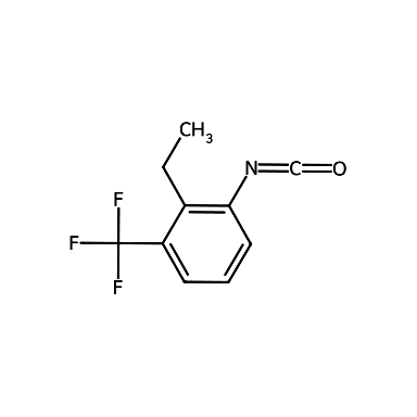 CCc1c(N=C=O)cccc1C(F)(F)F